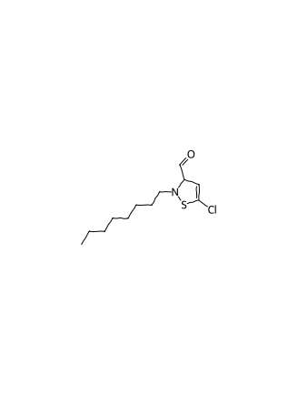 CCCCCCCCN1SC(Cl)=CC1C=O